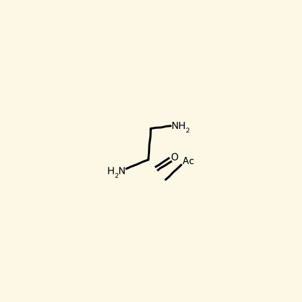 C=O.CC(C)=O.NCCN